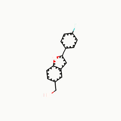 OCc1ccc2oc(-c3ccc(F)cc3)cc2c1